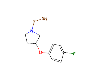 Fc1ccc(OC2CCN(SS)C2)cc1